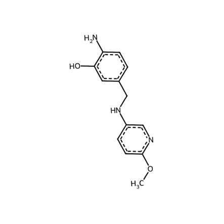 COc1ccc(NCc2ccc(N)c(O)c2)cn1